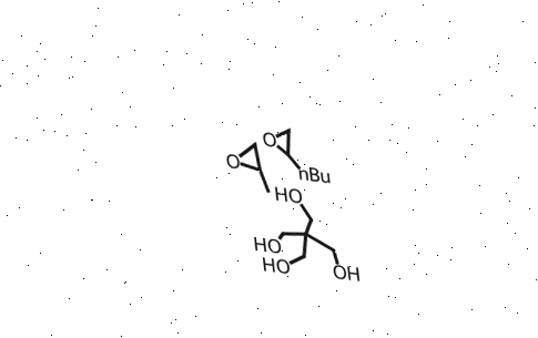 CC1CO1.CCCCC1CO1.OCC(CO)(CO)CO